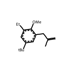 C=C(C)Cc1cc(C(C)(C)C)cc(CC)c1OC